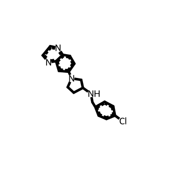 Clc1ccc(CNC2CCN(c3ccc4nccnc4c3)C2)cc1